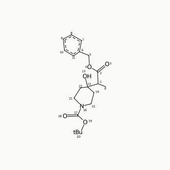 CC(C(=O)OCc1ccccc1)C1(O)CCN(C(=O)OC(C)(C)C)CC1